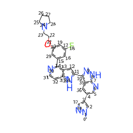 Cn1cc(-c2cnc3[nH]nc(-c4cc5c(-c6cc(F)cc(OCCN7CCCC7)c6)nccc5[nH]4)c3c2)cn1